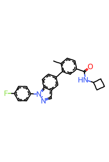 Cc1ccc(C(=O)NC2CCC2)cc1-c1ccc2c(cnn2-c2ccc(F)cc2)c1